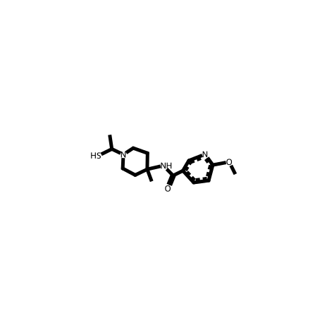 COc1ccc(C(=O)NC2(C)CCN(C(C)S)CC2)cn1